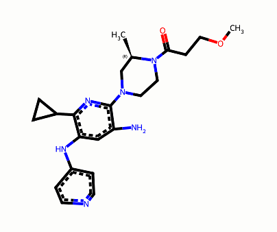 COCCC(=O)N1CCN(c2nc(C3CC3)c(Nc3ccncc3)cc2N)C[C@H]1C